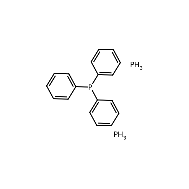 P.P.c1ccc(P(c2ccccc2)c2ccccc2)cc1